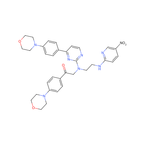 O=C(CN(CCNc1ccc([N+](=O)[O-])cn1)c1nccc(-c2ccc(N3CCOCC3)cc2)n1)c1ccc(N2CCOCC2)cc1